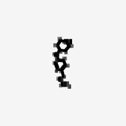 COCc1ccc(OC2CCNCC2)cc1